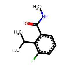 CNC(=O)c1cccc(F)c1C(C)C